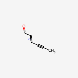 CC#C/C=C/C=O